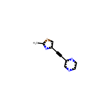 Cc1nc(C#Cc2cnccn2)cs1